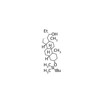 CC[C@H](O)[C@H]1CC[C@H]2[C@@H]3CC[C@H]4C[C@H](O[Si](C)(C)C(C)(C)C)CC[C@]4(C)[C@H]3CC[C@]12C